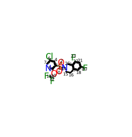 O=S(=O)(c1cc(Cl)cnc1OC(F)F)N1CCc2cc(F)cc(F)c2C1